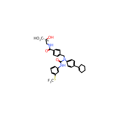 O=C(NC[C@@H](O)C(=O)O)c1ccc(CN(C(=O)Nc2cccc(SC(F)(F)F)c2)c2ccc(C3=CCCCC3)cc2)cc1